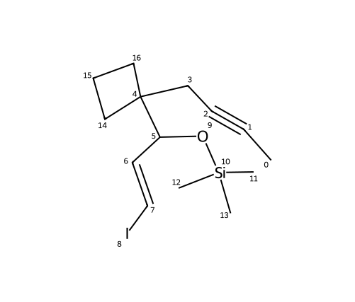 CC#CCC1(C(/C=C/I)O[Si](C)(C)C)CCC1